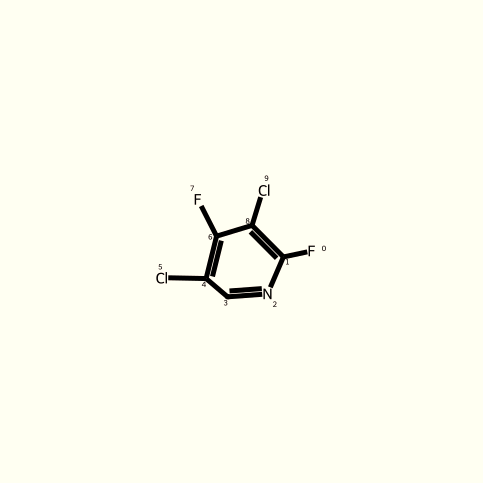 Fc1ncc(Cl)c(F)c1Cl